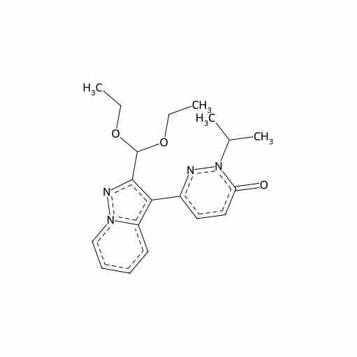 CCOC(OCC)c1nn2ccccc2c1-c1ccc(=O)n(C(C)C)n1